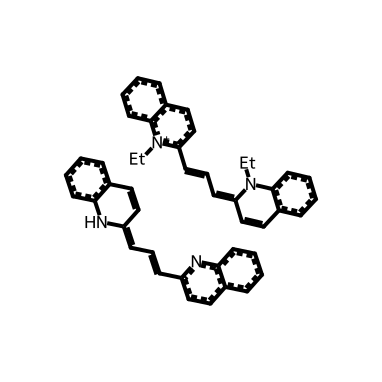 C(=Cc1ccc2ccccc2n1)C=C1C=Cc2ccccc2N1.CCN1C(=CC=Cc2ccc3ccccc3[n+]2CC)C=Cc2ccccc21